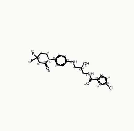 O=C(NC[C@H](O)CNc1ccc(N2CCC(F)(F)CC2=O)cc1)c1ccc(Cl)s1